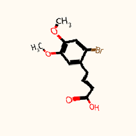 COc1cc(Br)c(C/C=C/C(=O)O)cc1OC